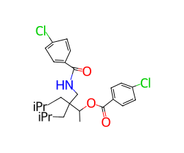 CC(C)CC(CNC(=O)c1ccc(Cl)cc1)(CC(C)C)C(C)OC(=O)c1ccc(Cl)cc1